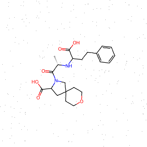 C[C@H](NC(CCc1ccccc1)C(=O)O)C(=O)N1CC2(CCOCC2)CC1C(=O)O